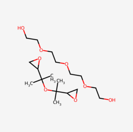 CC(C)(OC(C)(C)C1CO1)C1CO1.OCCOCCOCCOCCO